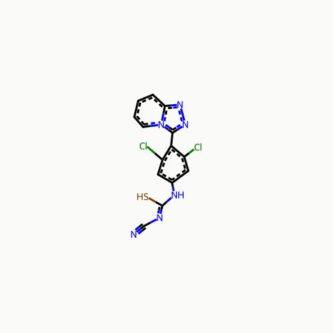 N#CN=C(S)Nc1cc(Cl)c(-c2nnc3ccccn23)c(Cl)c1